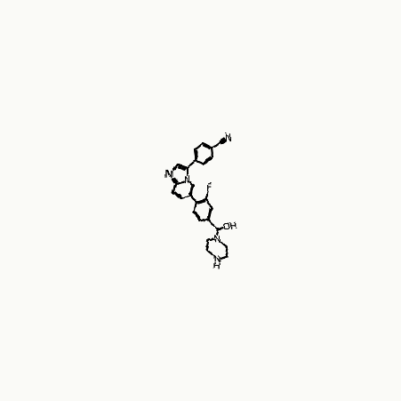 N#Cc1ccc(-c2cnc3ccc(-c4ccc(C(O)N5CCNCC5)cc4F)cn23)cc1